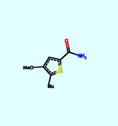 CCC(C)c1sc(C(N)=O)cc1OC